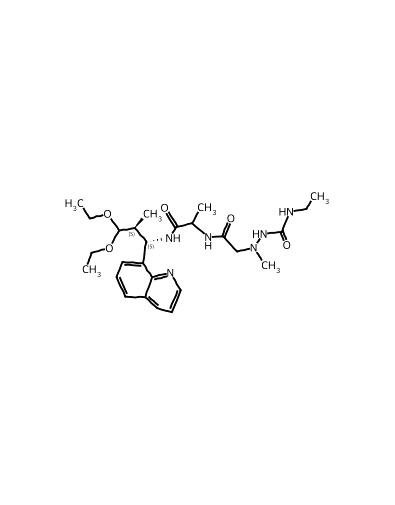 CCNC(=O)NN(C)CC(=O)NC(C)C(=O)N[C@H](c1cccc2cccnc12)[C@H](C)C(OCC)OCC